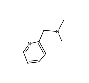 [CH2]N(C)Cc1ccccn1